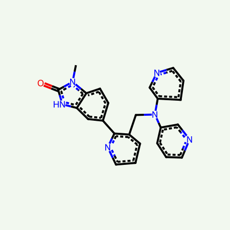 Cn1c(=O)[nH]c2cc(-c3ncccc3CN(c3cccnc3)c3cccnc3)ccc21